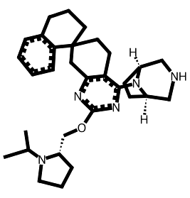 CC(C)N1CCC[C@H]1COc1nc2c(c(N3[C@@H]4CC[C@H]3CNC4)n1)CCC1(CCCc3ccccc31)C2